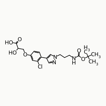 CC(C)(C)OC(=O)NCCCn1cc(-c2ccc(OCC(O)C(=O)O)cc2Cl)cn1